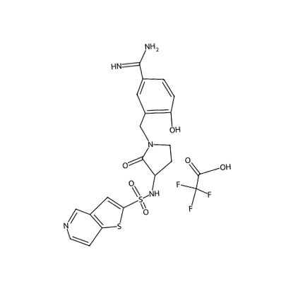 N=C(N)c1ccc(O)c(CN2CCC(NS(=O)(=O)c3cc4cnccc4s3)C2=O)c1.O=C(O)C(F)(F)F